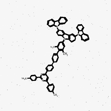 Cc1ccc(-c2cc(-c3ccc(-c4ccc(-c5c(C)cc(-n6c7ccc(-n8c9ccccc9c9ccccc98)cc7c7cc(-n8c9ccccc9c9ccccc98)ccc76)cc5C)cc4)cc3)nc(-c3ccc(C)cc3)n2)cc1